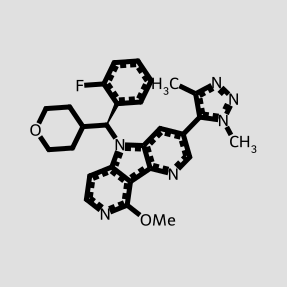 COc1nccc2c1c1ncc(-c3c(C)nnn3C)cc1n2[C@H](c1ccccc1F)C1CCOCC1